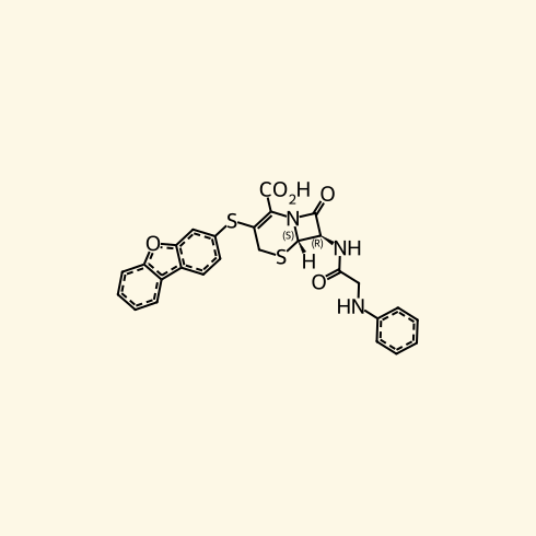 O=C(CNc1ccccc1)N[C@@H]1C(=O)N2C(C(=O)O)=C(Sc3ccc4c(c3)oc3ccccc34)CS[C@@H]12